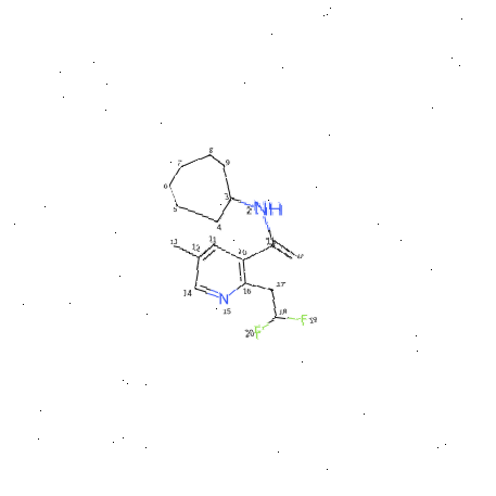 C=C(NC1CCCCCC1)c1cc(C)cnc1CC(F)F